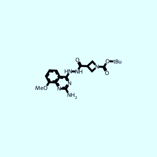 COc1cccc2c(NNC(=O)C3CN(C(=O)OC(C)(C)C)C3)nc(N)nc12